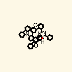 c1ccc(C2=NC(c3cccc4oc5ccc(-c6c(-n7c8ccccc8c8ccccc87)ccc7sc8ccccc8c67)cc5c34)=NC(c3ccc4c(c3)oc3ccccc34)N2)cc1